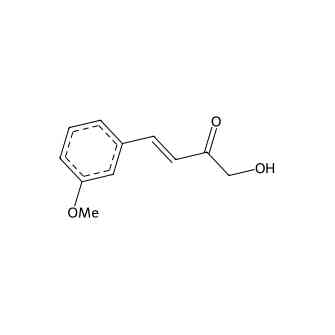 COc1cccc(C=CC(=O)CO)c1